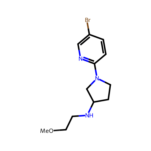 COCCNC1CCN(c2ccc(Br)cn2)C1